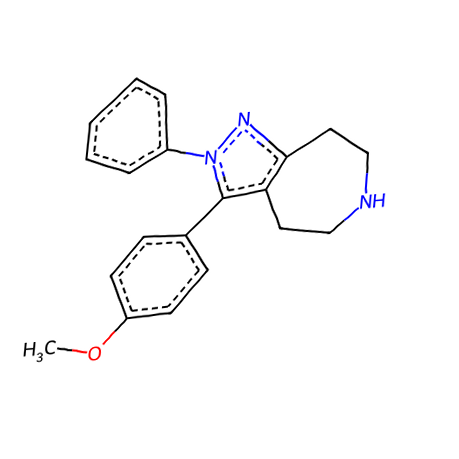 COc1ccc(-c2c3c(nn2-c2ccccc2)CCNCC3)cc1